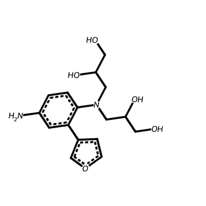 Nc1ccc(N(CC(O)CO)CC(O)CO)c(-c2ccoc2)c1